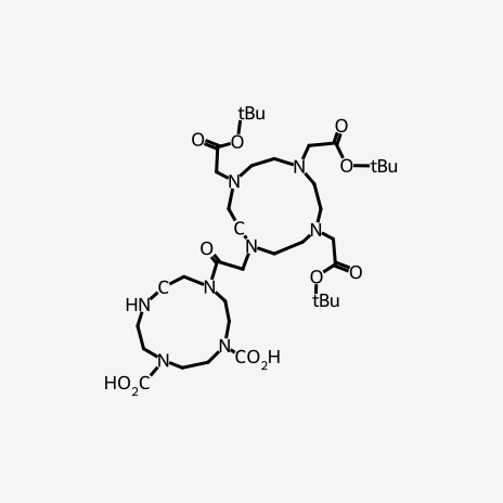 CC(C)(C)OC(=O)CN1CCN(CC(=O)OC(C)(C)C)CCN(CC(=O)N2CCNCCN(C(=O)O)CCN(C(=O)O)CC2)CCN(CC(=O)OC(C)(C)C)CC1